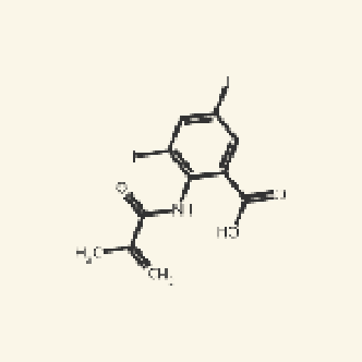 C=C(C)C(=O)Nc1c(I)cc(I)cc1C(=O)O